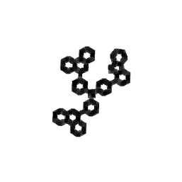 c1cc(-c2cc3ccccc3c3ccccc23)cc(N(c2ccc(-c3cccc4c3sc3ccccc34)cc2)c2cccc(-c3cc4ccccc4c4ccccc34)c2)c1